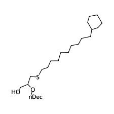 CCCCCCCCCCOC(CO)CSCCCCCCCCCCC1CCCCC1